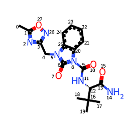 Cc1nc(Cn2c(=O)n(C(=O)N[C@H](C(N)=O)C(C)(C)C)c3ccccc32)no1